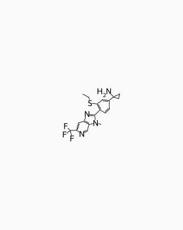 CCSc1cc(C2(N)CC2)ccc1-c1nc2cc(C(F)(F)F)ncc2n1C